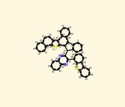 c1ccc2c(c1)-c1c(c3sc4c5ccccc5ccc4c3c3ccccc13)C2c1nc2ccccc2nc1-c1cccc2c1sc1ccccc12